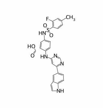 Cc1ccc(S(=O)(=O)Nc2ccc(Nc3cc(-c4ccc5[nH]ccc5c4)ncn3)cc2)c(F)c1.O=CO